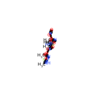 C=Nc1[nH]c(C)c(C2OCC23CCN(C(=O)CCCOc2cc4ncnc(Oc5cnc6[nH]c(C)cc6c5F)c4cc2OC)CC3)c1/C(F)=C(\C)Oc1ccnc2cc(OCCCC(=O)N3CCC4(CC3)COC4)c(OC)cc12